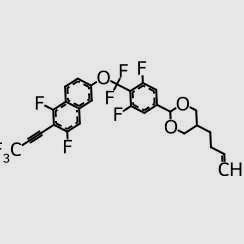 C=CCCC1COC(c2cc(F)c(C(F)(F)Oc3ccc4c(F)c(C#CC(F)(F)F)c(F)cc4c3)c(F)c2)OC1